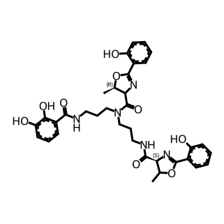 CC1OC(c2ccccc2O)=N[C@@H]1C(=O)NCCCN(CCCNC(=O)c1cccc(O)c1O)C(=O)C1N=C(c2ccccc2O)O[C@@H]1C